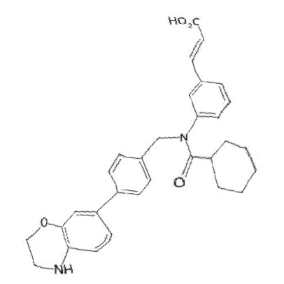 O=C(O)C=Cc1cccc(N(Cc2ccc(-c3ccc4c(c3)OCCN4)cc2)C(=O)C2CCCCC2)c1